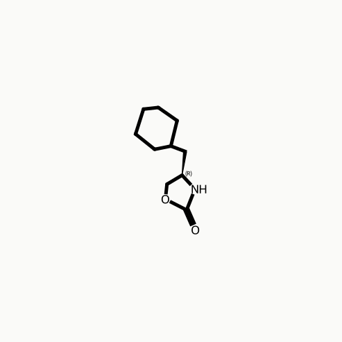 O=C1N[C@H](CC2CCCCC2)CO1